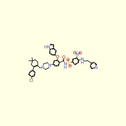 CC1(C)CCC(CN2CCN(c3ccc(C(=O)NS(=O)(=O)c4ccc(NCCc5ccncc5)c([N+](=O)[O-])c4)c(Oc4ccc5[nH]ccc5c4)c3)CC2)=C(c2ccc(Cl)cc2)C1